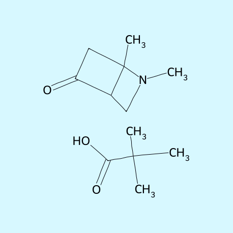 CC(C)(C)C(=O)O.CN1CC2C(=O)CC21C